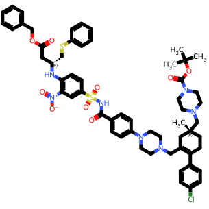 CC(C)(C)OC(=O)N1CCN(C[C@]2(C)CCC(c3ccc(Cl)cc3)=C(CN3CCN(c4ccc(C(=O)NS(=O)(=O)c5ccc(N[C@@H](CSc6ccccc6)CC(=O)OCc6ccccc6)c([N+](=O)[O-])c5)cc4)CC3)C2)CC1